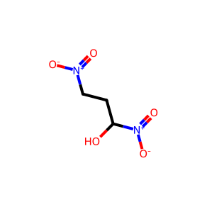 O=[N+]([O-])CCC(O)[N+](=O)[O-]